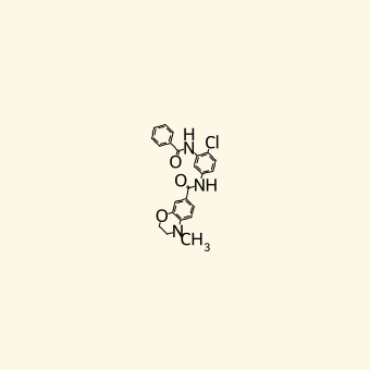 CN1CCOc2cc(C(=O)Nc3ccc(Cl)c(NC(=O)c4ccccc4)c3)ccc21